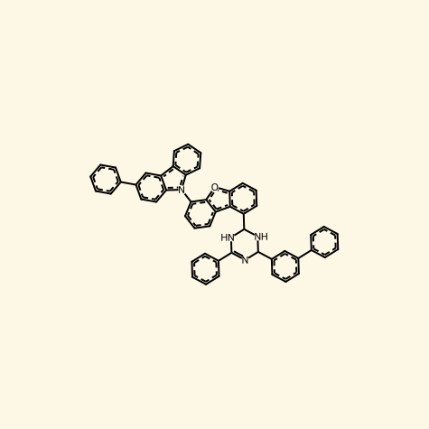 c1ccc(C2=NC(c3cccc(-c4ccccc4)c3)NC(c3cccc4oc5c(-n6c7ccccc7c7cc(-c8ccccc8)ccc76)cccc5c34)N2)cc1